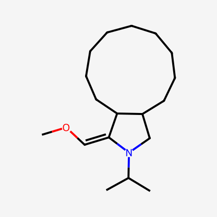 CO/C=C1\C2CCCCCCCCCC2CN1C(C)C